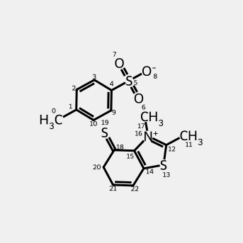 Cc1ccc(S(=O)(=O)[O-])cc1.Cc1sc2c([n+]1C)C(=S)CC=C2